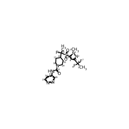 Cn1nc(C(C)(F)F)cc1S(=O)(=O)C(C)(F)C1CCN(C(=O)Nc2ccnnc2)CC1